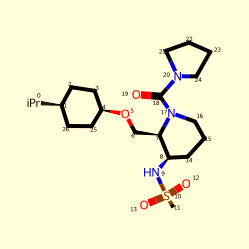 CC(C)[C@H]1CC[C@@H](OC[C@@H]2[C@H](NS(C)(=O)=O)CCCN2C(=O)N2CCCC2)CC1